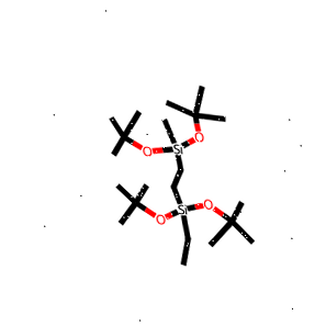 CC[Si](CC[Si](C)(OC(C)(C)C)OC(C)(C)C)(OC(C)(C)C)OC(C)(C)C